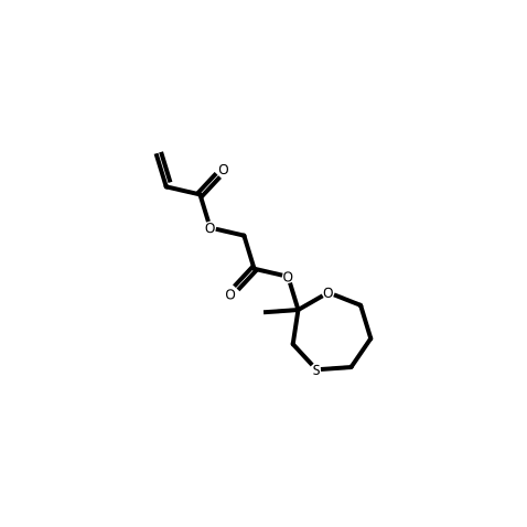 C=CC(=O)OCC(=O)OC1(C)CSCCCO1